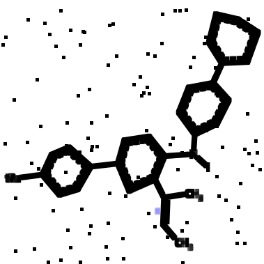 C/C=C(\C)c1cc(-c2ccc(C(C)(C)C)cc2)ccc1N(I)c1ccc(-c2ccccc2)cc1